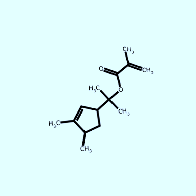 C=C(C)C(=O)OC(C)(C)C1C=C(C)C(C)C1